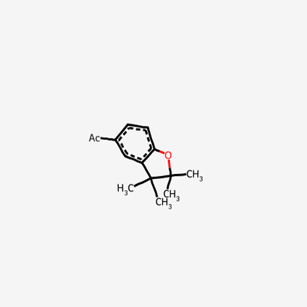 CC(=O)c1ccc2c(c1)C(C)(C)C(C)(C)O2